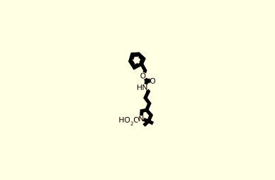 CC1(C)CC(CCCNC(=O)OCc2ccccc2)CN1C(=O)O